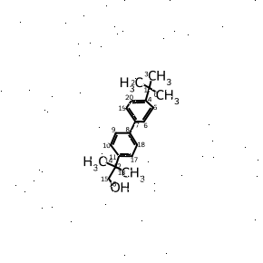 CC(C)(C)c1ccc(-c2ccc(C(C)(C)CO)cc2)cc1